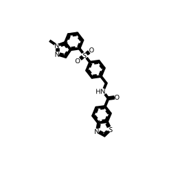 Cn1ncc2c(S(=O)(=O)c3ccc(CNC(=O)c4ccc5ncsc5c4)cc3)cccc21